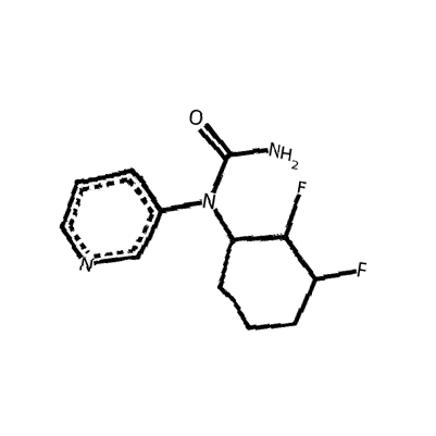 NC(=O)N(c1cccnc1)C1CCCC(F)C1F